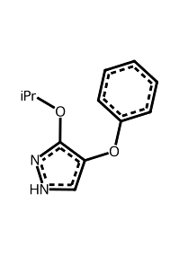 CC(C)Oc1n[nH]cc1Oc1ccccc1